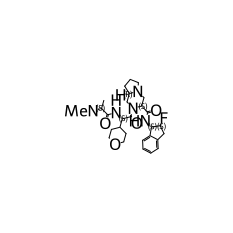 CN[C@@H](C)C(=O)N[C@H](C(=O)N1C[C@H]2CCCN2C[C@H]1C(=O)N[C@H]1c2ccccc2C[C@@H]1F)C1CCOCC1